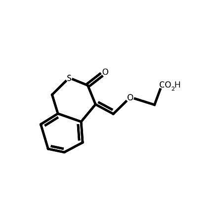 O=C(O)CO/C=C1\C(=O)SCc2ccccc21